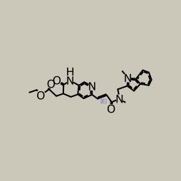 CCOC(=O)CC1Cc2cc(/C=C/C(=O)N(C)Cc3cc4ccccc4n3C)ncc2NC1=O